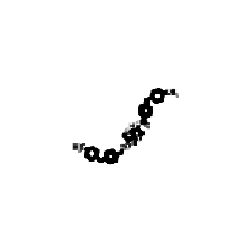 CC1CCC(Cc2ccc(COO[C@H]3CO[C@H]4[C@@H]3OC[C@H]4OC(=O)c3ccc(CC4CCC(C)CC4)cc3)cc2)CC1